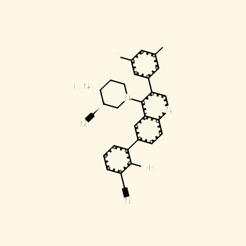 N#Cc1cccc(-c2ccc3ncc(-c4cc(F)cc(F)c4)c(N4CC[C@@H](N)[C@H](C#N)C4)c3c2)c1O